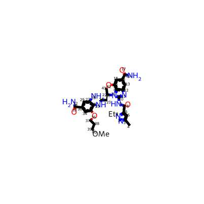 CCn1nc(C)cc1C(=O)Nc1nc2cc(C(N)=O)cc3c2n1[C@@H](CCNc1c(N)cc(C(N)=O)cc1OCCCOC)CO3